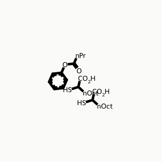 CCCC(=O)Oc1ccccc1.CCCCCCCCC(S)C(=O)O.CCCCCCCCC(S)C(=O)O